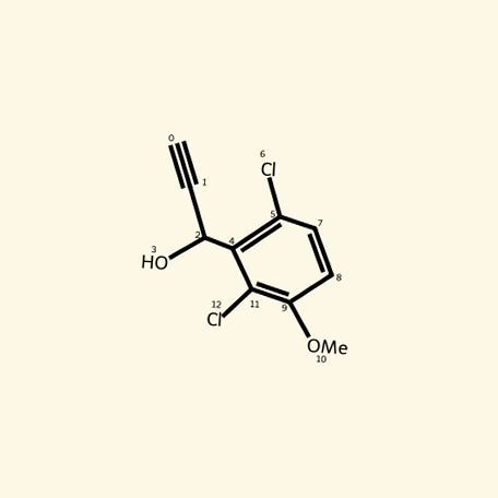 C#CC(O)c1c(Cl)ccc(OC)c1Cl